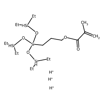 C=C(C)C(=O)OCCC[Si](O[SiH](CC)CC)(O[SiH](CC)CC)O[SiH](CC)CC.[H+].[H+].[H+]